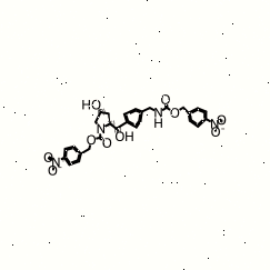 O=C(NCc1ccc([C@H](O)[C@@H]2C[C@@H](O)CN2C(=O)OCc2ccc([N+](=O)[O-])cc2)cc1)OCc1ccc([N+](=O)[O-])cc1